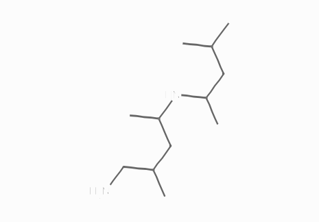 CC(C)CC(C)NC(C)CC(C)CN